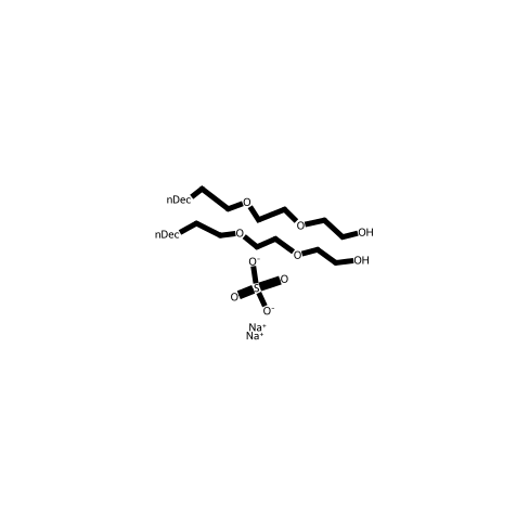 CCCCCCCCCCCCOCCOCCO.CCCCCCCCCCCCOCCOCCO.O=S(=O)([O-])[O-].[Na+].[Na+]